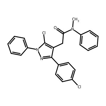 CN(C(=O)Cc1c(-c2ccc(Cl)cc2)nn(-c2ccccc2)c1Cl)c1ccccc1